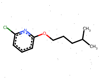 CC(C)CCCOc1cccc(Cl)n1